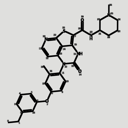 CCc1cccc(Oc2ccc(N3C(=O)Nc4c(C(=O)NC5CCCN(C)C5)sc5nccc3c45)c(C)c2)c1